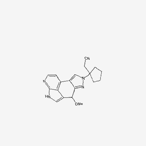 COC1c2nn(C3(CC#N)CCCC3)cc2-c2ccnc3[nH]cc1c23